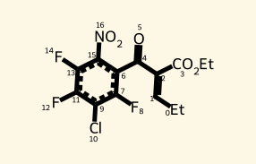 CCC=C(C(=O)OCC)C(=O)c1c(F)c(Cl)c(F)c(F)c1[N+](=O)[O-]